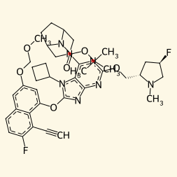 C#Cc1c(F)ccc2cc(OCOC)cc(Oc3nc4nc(OC[C@@H]5C[C@@H](F)CN5C)nc(N5CC6CCC(C5)N6C(=O)OC(C)(C)C)c4n3C3CCC3)c12